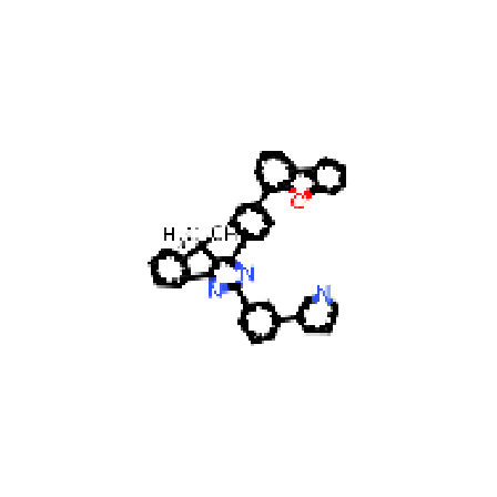 CC1(C)c2ccccc2-c2nc(-c3cccc(-c4cccnc4)c3)nc(-c3ccc(-c4cccc5c4oc4ccccc45)cc3)c21